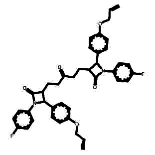 C=CCOc1ccc(C2C(CCC(=O)CCC3C(=O)N(c4ccc(F)cc4)C3c3ccc(OCC=C)cc3)C(=O)N2c2ccc(F)cc2)cc1